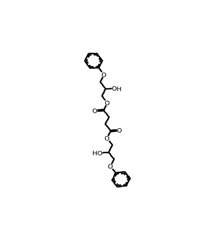 O=C(CCC(=O)OCC(O)COc1ccccc1)OCC(O)COc1ccccc1